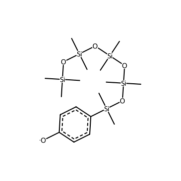 C[Si](C)(C)O[Si](C)(C)O[Si](C)(C)O[Si](C)(C)O[Si](C)(C)c1ccc([O])cc1